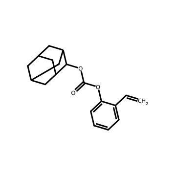 C=Cc1ccccc1OC(=O)OC1C2CC3CC(C2)CC1C3